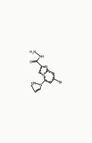 NNC(=O)c1cn2c(N3C=CCN3)cc(Br)cc2n1